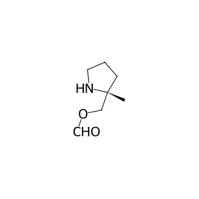 C[C@]1(COC=O)CCCN1